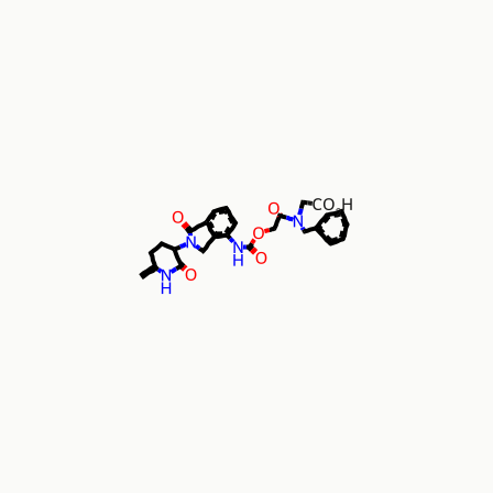 C=C1CCC(N2Cc3c(NC(=O)OCC(=O)N(CC(=O)O)Cc4ccccc4)cccc3C2=O)C(=O)N1